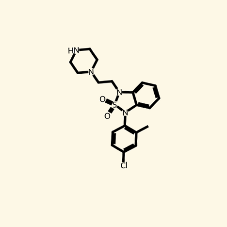 Cc1cc(Cl)ccc1N1c2ccccc2N(CCN2CCNCC2)S1(=O)=O